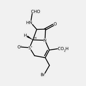 O=CNC1C(=O)N2C(C(=O)O)=C(CBr)C[S+]([O-])[C@H]12